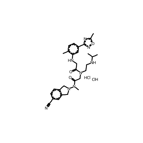 Cc1nc(-c2ccc(C)c(NCC(=O)N(CCNC(C)C)CC(=O)N(C)N3Cc4ccc(C#N)cc4C3)c2)no1.Cl.Cl